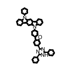 c1ccc(C2=NC(c3ccc4c(c3)oc3cc(-n5c6ccccc6c6cc7c(cc65)c5ccccc5n7-c5ccccc5)ccc34)=NC(c3ccccc3)N2)cc1